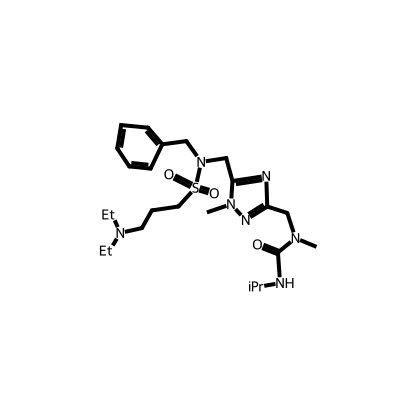 CCN(CC)CCCS(=O)(=O)N(Cc1ccccc1)Cc1nc(CN(C)C(=O)NC(C)C)nn1C